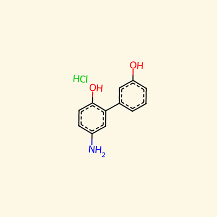 Cl.Nc1ccc(O)c(-c2cccc(O)c2)c1